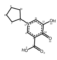 O=C(O)c1cn(C2CCCC2)cc(O)c1=O